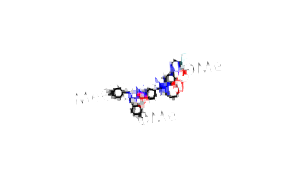 COC(=O)[C@H]1[C@@H](F)CCN1c1cc2c3c(c1)nc(-c1ccc4oc(N(Cc5ccc(OC)cc5)Cc5ccc(OC)cc5)nc4c1)n3CCCCO2